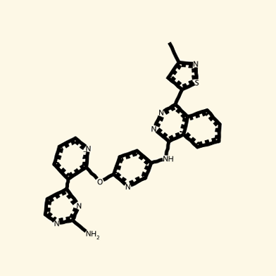 Cc1cc(-c2nnc(Nc3ccc(Oc4ncccc4-c4ccnc(N)n4)nc3)c3ccccc23)sn1